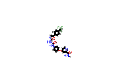 CNC(=O)c1cc(Oc2ccc(NC(=O)Nc3ncc(-c4ccc(C(F)(F)F)cc4)o3)cc2)ccn1